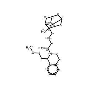 COCCC1c2ccccc2CCN1C(=O)CNCC1(O)C2CC3CC(C2)CC1C3